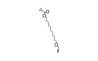 C#CCOCCCCCCCCCCCOC(=O)C1CC1